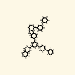 C1=C(c2ccccc2)CCC(c2nc(-c3ccc4c(c3)oc3cccc(-c5cccc(-c6ccccc6)c5)c34)nc(C3C=c4ccccc4=CC3)n2)=C1